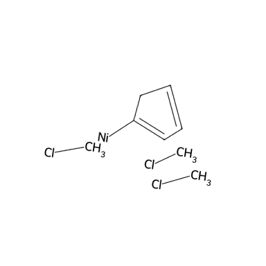 CCl.CCl.CCl.[Ni][C]1=CC=CC1